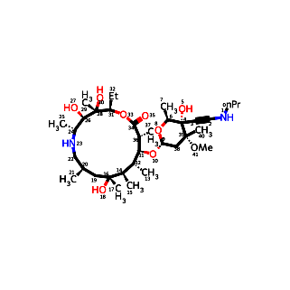 CCCNC#C[C@]1(O)[C@H](C)O[C@@H](O[C@H]2[C@H](C)[C@@H](C)[C@](C)(O)C[C@@H](C)CN[C@H](C)[C@@H](O)[C@](C)(O)[C@@H](CC)OC(=O)[C@@H]2C)C[C@@]1(C)OC